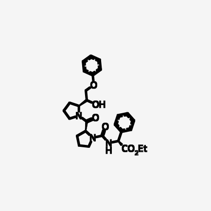 CCOC(=O)[C@@H](NC(=O)N1CCC[C@H]1C(=O)N1CCC[C@H]1C(O)COc1ccccc1)c1ccccc1